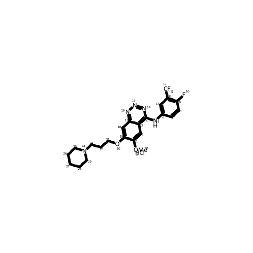 COc1cc2c(Nc3ccc(F)c(C(F)(F)F)c3)nnnc2cc1OCCCN1CCCCC1.Cl